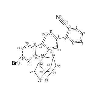 N#Cc1ccccc1-c1ccc2c(c1)C1(c3cc(Br)ccc3-2)C2CC3CC(C2)CC1C3